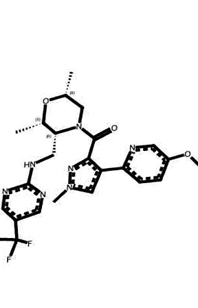 COc1ccc(-c2cn(C)nc2C(=O)N2C[C@@H](C)O[C@@H](C)[C@H]2CNc2ncc(C(F)(F)F)cn2)nc1